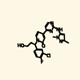 Cc1cc(Nc2nccc(-c3ccn([C@H](CCO)c4ccc(F)c(Cl)c4)c(=O)c3)n2)n(C)n1